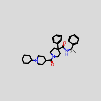 C[C@H](NC(=O)C1(c2ccccc2)CCN(C(=O)C2CCN(C3CCCCC3)CC2)CC1)c1ccccc1